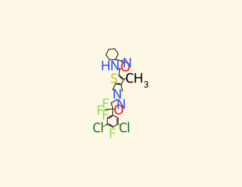 Cc1c(C(=O)NC2(C#N)CCCCC2)sc2c1CN(C1=NOC(c3cc(Cl)c(F)c(Cl)c3)(C(F)(F)F)C1)C2